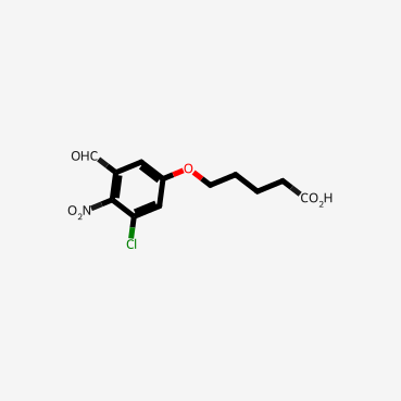 O=Cc1cc(OCCCCC(=O)O)cc(Cl)c1[N+](=O)[O-]